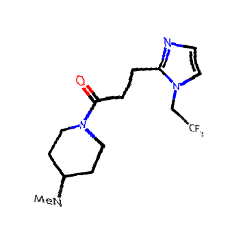 CNC1CCN(C(=O)CCc2nccn2CC(F)(F)F)CC1